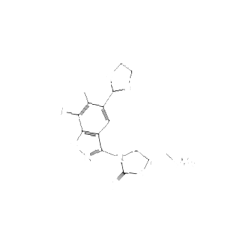 CSC[C@H]1CN(c2noc3c(F)c(F)c(C4OCCO4)cc23)C(=O)S1